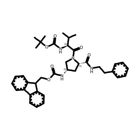 CC(C)[C@H](NC(=O)OC(C)(C)C)C(=O)N1C[C@@H](NC(=O)OCC2c3ccccc3-c3ccccc32)C[C@H]1C(=O)NCCc1ccccc1